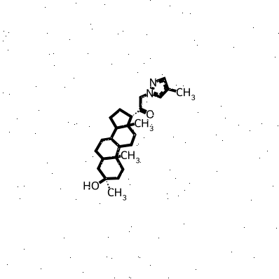 Cc1cnn(CC(=O)[C@H]2CCC3C4CCC5C[C@](C)(O)CCC5(C)C4CCC32C)c1